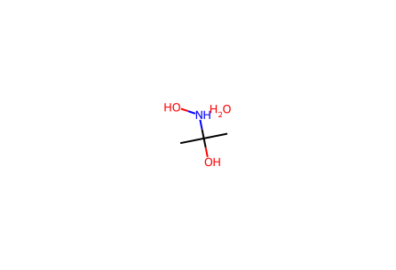 CC(C)(O)NO.O